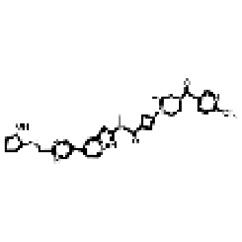 C[C@H]1CN(C(=O)c2ccc(C(F)(F)F)nc2)CCN1C1CC(C(=O)Nc2cc3cc(-c4cnc(CO[C@H]5CCC[C@@H]5O)nc4)ccn3n2)C1